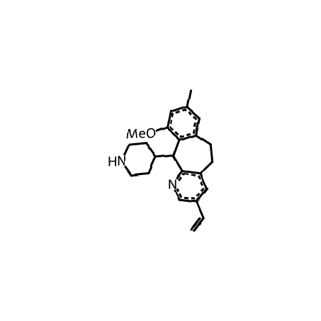 C=Cc1cnc2c(c1)CCc1cc(C)cc(OC)c1C2C1CCNCC1